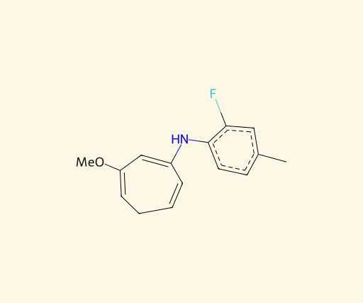 COC1=CCC=CC(Nc2ccc(C)cc2F)=C1